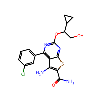 NC(=O)c1sc2nc(OC(CO)C3CC3)nc(-c3cccc(Cl)c3)c2c1N